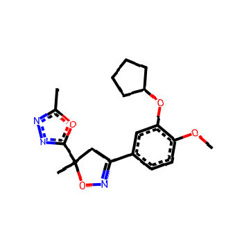 COc1ccc(C2=NOC(C)(c3nnc(C)o3)C2)cc1OC1CCCC1